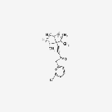 CC(C)[Si](C#CC(=O)Cc1cccc(Cl)c1)(C(C)C)C(C)C